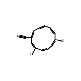 N#CC1=C/C=C\C=C/C(Cl)=C\C=C/C(Cl)=C\1